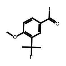 COc1ccc(C(=O)I)cc1C(C)(C)F